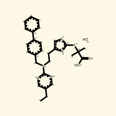 CCc1cnc(N(CCc2csc(SC(C)(C)C(=O)O)n2)Cc2ccc(-c3ccccc3)cc2)nc1.Cl